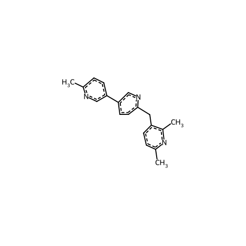 Cc1ccc(-c2ccc(Cc3ccc(C)nc3C)nc2)cn1